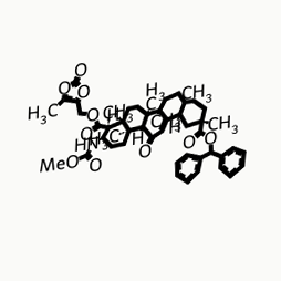 COC(=O)N[C@H]1CC[C@@]2(C)[C@@H](CC[C@]3(C)[C@@H]2C(=O)C=C2[C@@H]4C[C@@](C)(C(=O)OC(c5ccccc5)c5ccccc5)CC[C@]4(C)CC[C@]23C)[C@]1(C)C(=O)OCc1oc(=O)oc1C